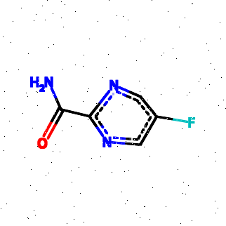 NC(=O)c1ncc(F)cn1